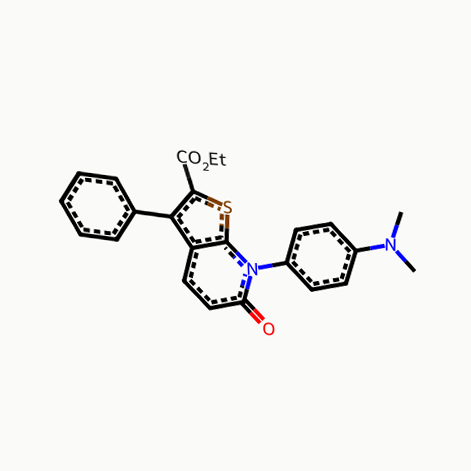 CCOC(=O)c1sc2c(ccc(=O)n2-c2ccc(N(C)C)cc2)c1-c1ccccc1